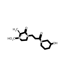 C[C@H]1C(=O)N(CCC(=O)N2CCCC(O)C2)CCN1C(=O)O